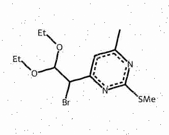 CCOC(OCC)C(Br)c1cc(C)nc(SC)n1